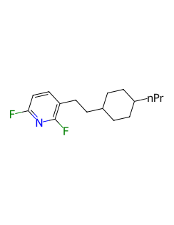 CCCC1CCC(CCc2ccc(F)nc2F)CC1